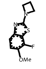 COc1ccc2nc(N3CCC3)sc2c1F